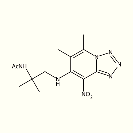 CC(=O)NC(C)(C)CNc1c(C)c(C)n2nnnc2c1[N+](=O)[O-]